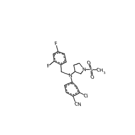 CS(=O)(=O)N1CCC(N(Cc2ccc(F)cc2F)c2ccc(C#N)c(Cl)c2)C1